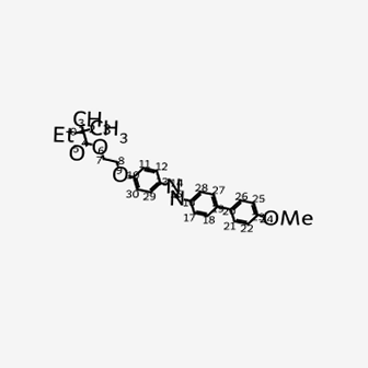 CCC(C)(C)C(=O)OCCOc1ccc(/N=N/c2ccc(-c3ccc(OC)cc3)cc2)cc1